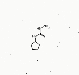 NNC(=S)NC1CCCC1